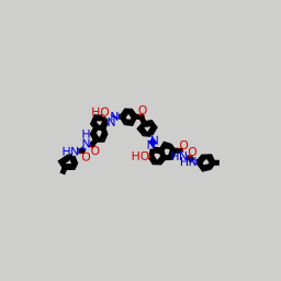 Cc1ccc(NC(=O)NC(=O)c2ccc3c(N=Nc4ccc(C(=O)c5ccc(N=Nc6c(O)ccc7cc(C(=O)NC(=O)Nc8ccc(C)cc8)ccc67)cc5)cc4)c(O)ccc3c2)cc1